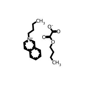 CCCCOC(=O)C(=O)[O-].CCCC[n+]1ccc2ccccc2c1